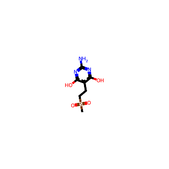 CS(=O)(=O)CCc1c(O)nc(N)nc1O